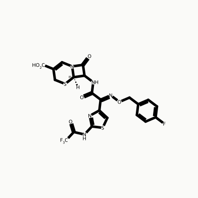 O=C(O)C1=CN2C(=O)C(NC(=O)C(=NOCc3ccc(F)cc3)c3csc(NC(=O)C(F)(F)F)n3)[C@H]2SC1